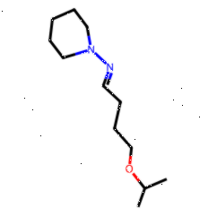 CC(C)OCCC/C=N/N1CCCCC1